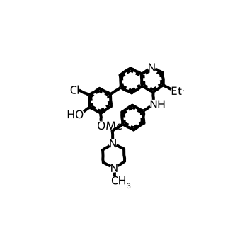 [CH2][CH]c1cnc2ccc(-c3cc(Cl)c(O)c(OC)c3)cc2c1Nc1ccc(CN2CCN(C)CC2)cc1